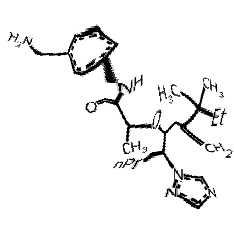 C=C(C(OC(C)C(=O)Nc1cccc(CN)c1)C(CCC)n1cncn1)C(C)(C)CC